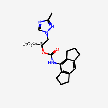 CCOC(=O)[C@@H](Cn1cnc(C)n1)OC(=O)Nc1c2c(cc3c1CCC3)CCC2